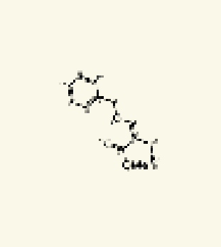 COC(=O)C(=COCc1ccccc1)CBr